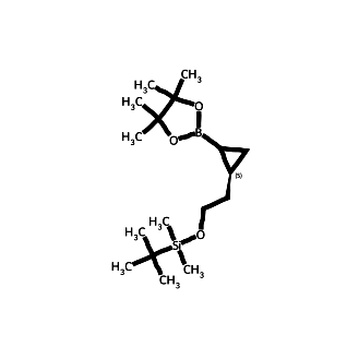 CC1(C)OB(C2C[C@H]2CCO[Si](C)(C)C(C)(C)C)OC1(C)C